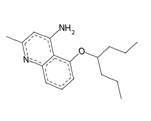 CCCC(CCC)Oc1cccc2nc(C)cc(N)c12